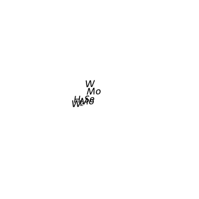 [Mo].[Mo].[SeH2].[W].[W]